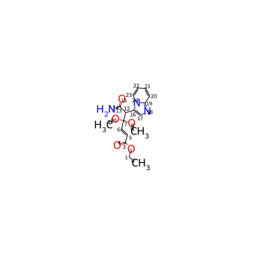 CCOC(=O)C=CC(OC)(OC)C(C(N)=O)c1cnc2ccccn12